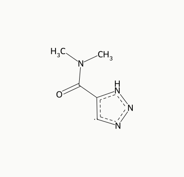 CN(C)C(=O)c1[c]nn[nH]1